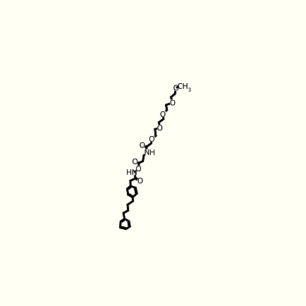 COCCOCCOCCOCCOCC(=O)NCCC(=O)ONC(=O)Cc1ccc(CCCCc2ccccc2)cc1